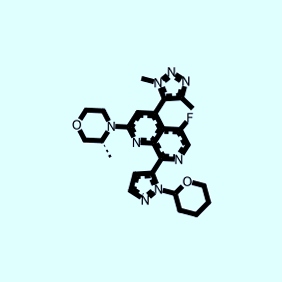 Cc1nnn(C)c1-c1cc(N2CCOC[C@H]2C)nc2c(-c3ccnn3C3CCCCO3)ncc(F)c12